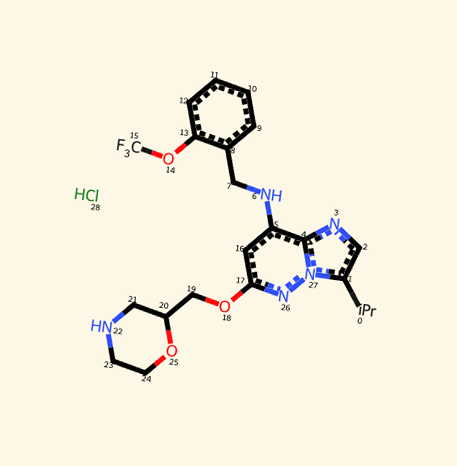 CC(C)c1cnc2c(NCc3ccccc3OC(F)(F)F)cc(OCC3CNCCO3)nn12.Cl